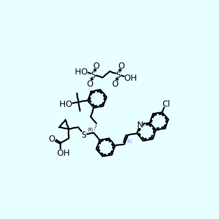 CC(C)(O)c1ccccc1CC[C@@H](SCC1(CC(=O)O)CC1)c1cccc(/C=C/c2ccc3ccc(Cl)cc3n2)c1.O=S(=O)(O)CCS(=O)(=O)O